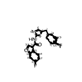 O=C(Nc1ncc(Cc2ccc(F)cc2)s1)c1coc2cc(F)ccc12